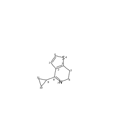 c1cc2c(s1)CCN=C2C1CC1